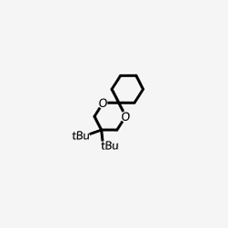 CC(C)(C)C1(C(C)(C)C)COC2(CCCCC2)OC1